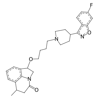 CC1CC(=O)N2CC(OCCCCN3CCC(c4noc5cc(F)ccc45)CC3)c3cccc1c32